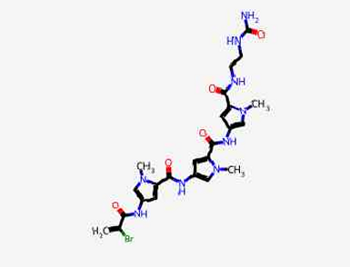 C=C(Br)C(=O)Nc1cc(C(=O)Nc2cc(C(=O)Nc3cc(C(=O)NCCNC(N)=O)n(C)c3)n(C)c2)n(C)c1